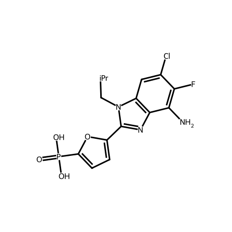 CC(C)Cn1c(-c2ccc(P(=O)(O)O)o2)nc2c(N)c(F)c(Cl)cc21